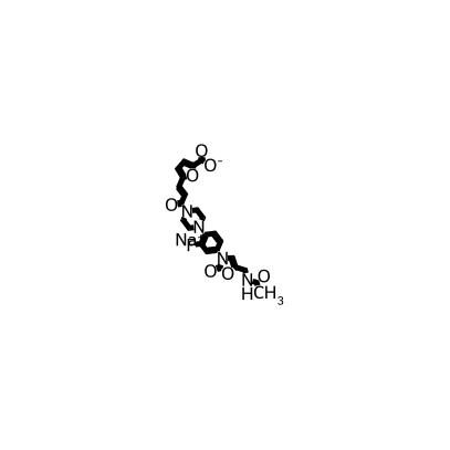 CC(=O)NCc1cn(-c2ccc(N3CCN(C(=O)C=Cc4ccc(C(=O)[O-])o4)CC3)c(F)c2)c(=O)o1.[Na+]